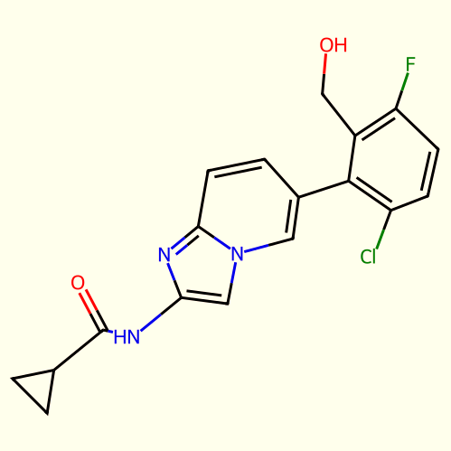 O=C(Nc1cn2cc(-c3c(Cl)ccc(F)c3CO)ccc2n1)C1CC1